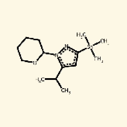 CC(C)c1c[c]([Sn]([CH3])([CH3])[CH3])nn1C1CCCCO1